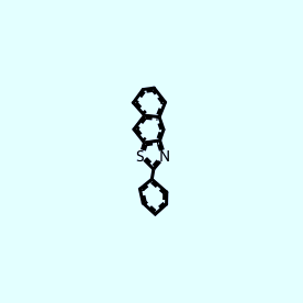 c1ccc(-c2nc3cc4ccccc4cc3s2)cc1